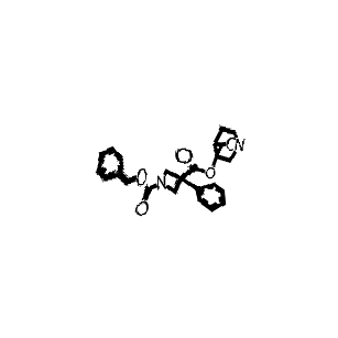 O=C(OCc1ccccc1)N1CC(C(=O)OC2CN3CCC2CC3)(c2ccccc2)C1